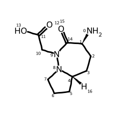 N[C@H]1CC[C@@H]2CCCN2N(CC(=O)O)C1=O